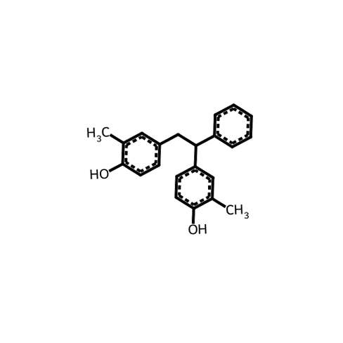 Cc1cc(CC(c2ccccc2)c2ccc(O)c(C)c2)ccc1O